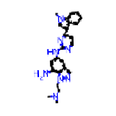 CN(C)CCn1ncc2cc(Nc3nccc(-c4cn(C)c5ccccc45)n3)cc(N)c21